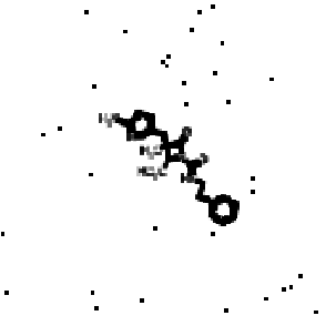 CC1(Cc2ccc(N)nc2)C(=O)N(C(=O)NCCc2ccccc2)[C@H]1C(=O)O